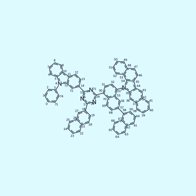 c1ccc(-n2c3ccccc3c3ccc(-c4nc(-c5ccc6ccccc6c5)nc(-c5ccc(-n6c7cc8ccccc8cc7c7ccc8ccccc8c76)c6cc(-c7cccc8ccccc78)ccc56)n4)cc32)cc1